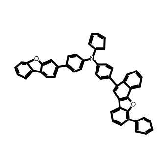 c1ccc(-c2cccc3c2oc2c4ccccc4c(-c4ccc(N(c5ccccc5)c5ccc(-c6ccc7c(c6)oc6ccccc67)cc5)cc4)cc32)cc1